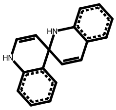 C1=CC2(C=Cc3ccccc3N2)c2ccccc2N1